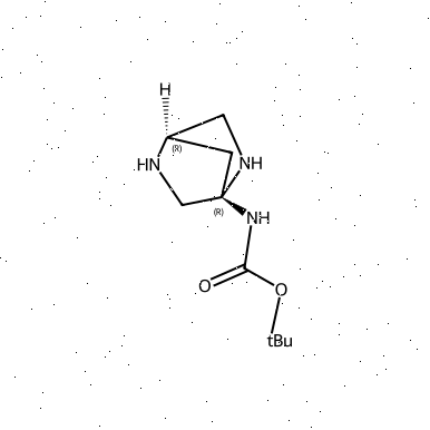 CC(C)(C)OC(=O)N[C@]12CN[C@@H](CN1)C2